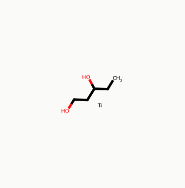 [CH2]CC(O)CCO.[Ti]